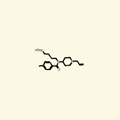 C=CCN1CCC(N(CCCCCCCCCCCCCC)C(=O)c2ccc(C)cc2)CC1